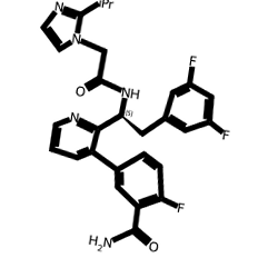 CC(C)c1nccn1CC(=O)N[C@@H](Cc1cc(F)cc(F)c1)c1ncccc1-c1ccc(F)c(C(N)=O)c1